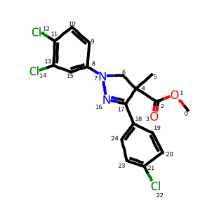 COC(=O)C1(C)CN(c2ccc(Cl)c(Cl)c2)N=C1c1ccc(Cl)cc1